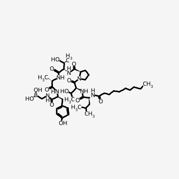 CCCCCCCCCC(=O)N[C@@H](CC(C)C)C(=O)N[C@H](C(=O)N1CCC[C@@H]1C(=O)N[C@H](C(=O)N[C@@H](C)C(=O)N[C@@H](Cc1ccc(O)cc1)C(=O)NCB(O)O)[C@@H](C)O)C(C)O